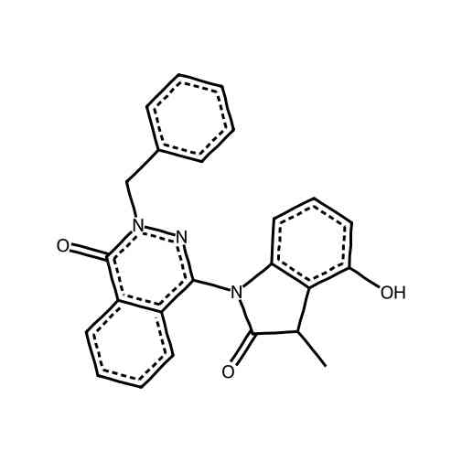 CC1C(=O)N(c2nn(Cc3ccccc3)c(=O)c3ccccc23)c2cccc(O)c21